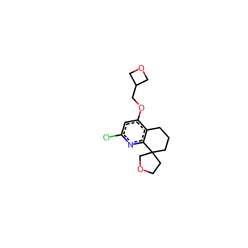 Clc1cc(OCC2COC2)c2c(n1)C1(CCC2)CCOC1